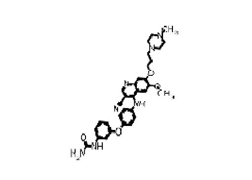 COc1cc2c(Nc3ccc(Oc4cccc(NC(N)=O)c4)cc3)c(C#N)cnc2cc1OCCCN1CCN(C)CC1